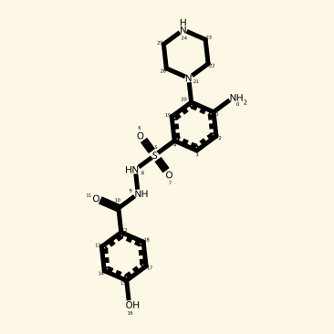 Nc1ccc(S(=O)(=O)NNC(=O)c2ccc(O)cc2)cc1N1CCNCC1